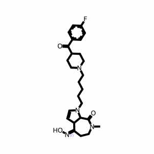 CN1CC/C(=N/O)C2C=CN(CCCCCN3CCC(C(=O)c4ccc(F)cc4)CC3)C2C1=O